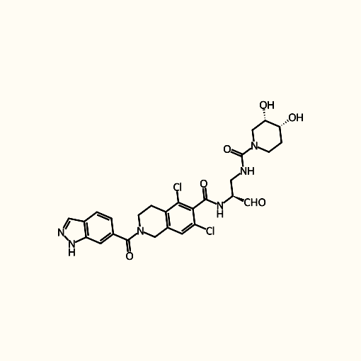 O=C[C@H](CNC(=O)N1CC[C@@H](O)[C@@H](O)C1)NC(=O)c1c(Cl)cc2c(c1Cl)CCN(C(=O)c1ccc3cn[nH]c3c1)C2